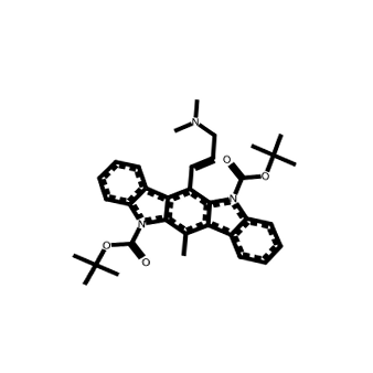 Cc1c2c3ccccc3n(C(=O)OC(C)(C)C)c2c(C=CCN(C)C)c2c3ccccc3n(C(=O)OC(C)(C)C)c12